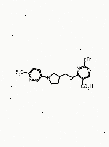 CCCc1ncc(C(=O)O)c(OCC2CCN(c3ccc(C(F)(F)F)nc3)C2)n1